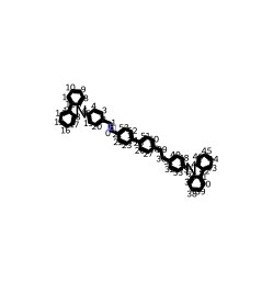 C(=C\c1ccc(-n2c3ccccc3c3ccccc32)cc1)/c1ccc(-c2ccc(CCc3ccc(-n4c5ccccc5c5ccccc54)cc3)cc2)cc1